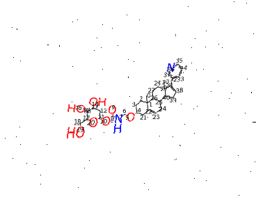 CC12CCC(OCNC(=O)OC3CC(O)[C@H](O)C(CO)O3)CC1=CCC1C2CCC2(C)C(c3cccnc3)=CCC12